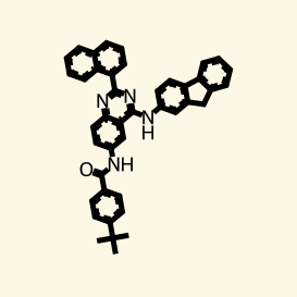 CC(C)(C)c1ccc(C(=O)Nc2ccc3nc(-c4cccc5ccccc45)nc(Nc4ccc5c(c4)Cc4ccccc4-5)c3c2)cc1